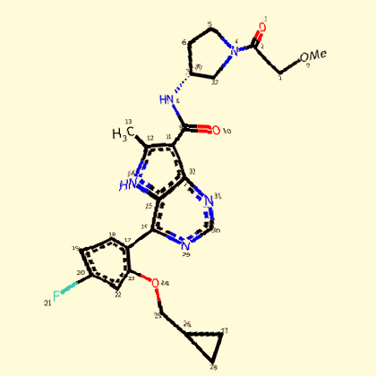 COCC(=O)N1CC[C@@H](NC(=O)c2c(C)[nH]c3c(-c4ccc(F)cc4OCC4CC4)ncnc23)C1